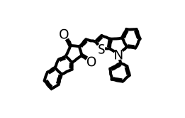 O=C1C(=Cc2cc3c4ccccc4n(-c4ccccc4)c3s2)C(=O)c2cc3ccccc3cc21